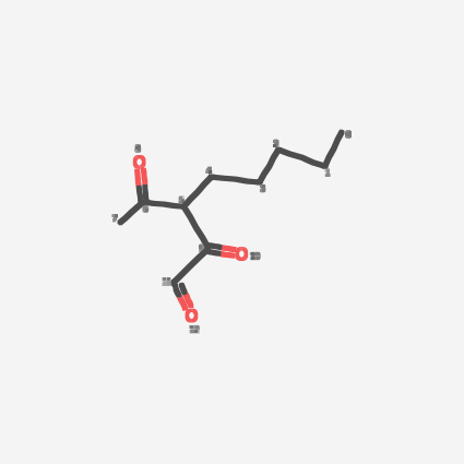 CCCCCC(C(C)=O)C(=O)C=O